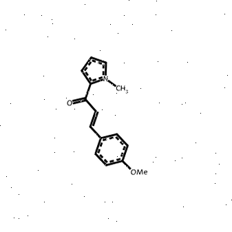 COc1ccc(/C=C/C(=O)c2cccn2C)cc1